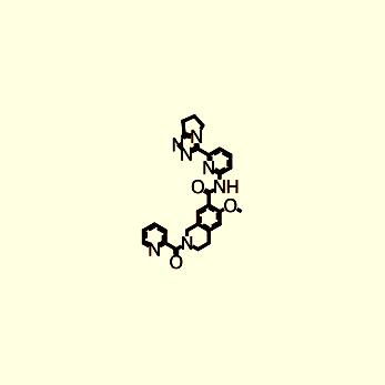 COc1cc2c(cc1C(=O)Nc1cccc(-c3nnc4n3CCC4)n1)CN(C(=O)c1ccccn1)CC2